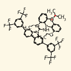 CCOc1cccc(OCC)c1P(NC(=O)n1c2cc(-c3cc(C(F)(F)F)cc(C(F)(F)F)c3)ccc2c2ccc(-c3cc(C(F)(F)F)cc(C(F)(F)F)c3)cc21)c1c(OCC)cccc1OCC